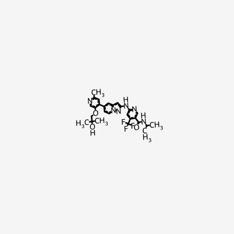 Cc1cc(-c2ccn3nc(Nc4cc(C(F)(F)F)c(C(=O)NC(C)C)cn4)cc3c2)c(OCC(C)(C)O)cn1